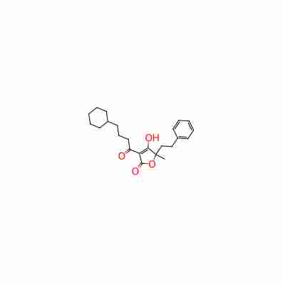 CC1(CCc2ccccc2)OC(=O)C(C(=O)CCCC2CCCCC2)=C1O